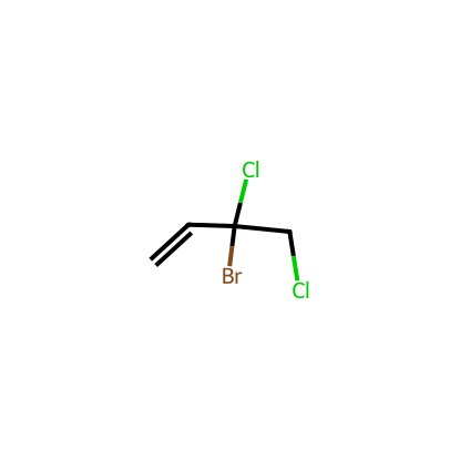 C=CC(Cl)(Br)CCl